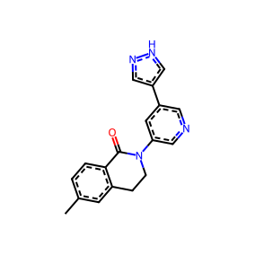 Cc1ccc2c(c1)CCN(c1cncc(-c3cn[nH]c3)c1)C2=O